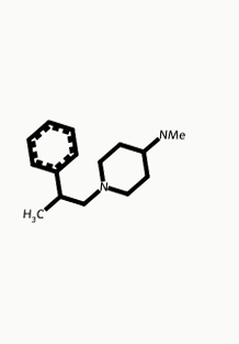 CNC1CCN(CC(C)c2ccccc2)CC1